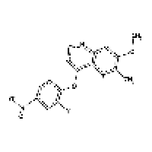 COc1cc2nccc(Oc3ccc([N+](=O)[O-])cc3F)c2nc1C